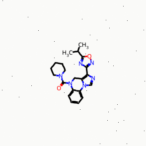 CC(C)c1nc(-c2ncn3c2CN(C(=O)N2CCCCC2)c2ccccc2-3)no1